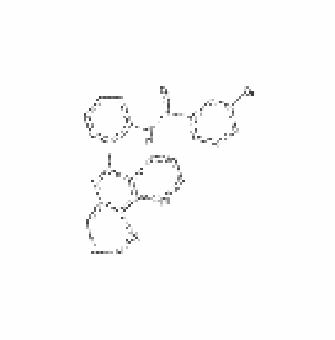 O=C(Nc1ccccc1-c1cc2cccnc2c2ncccc12)c1cccc(Br)c1